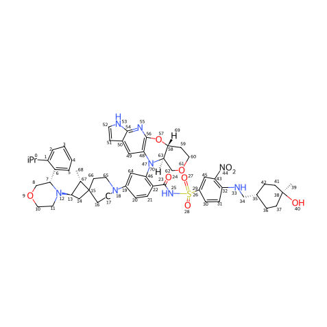 CC(C)c1ccccc1[C@H]1COCCN1[C@@H]1CC2(CCN(c3ccc(C(=O)NS(=O)(=O)c4ccc(NC[C@H]5CC[C@](C)(O)CC5)c([N+](=O)[O-])c4)c(N4c5cc6cc[nH]c6nc5O[C@@H]5CCOC[C@H]54)c3)CC2)[C@H]1C